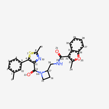 Cc1cccc(-c2sc(C)nc2C(=O)N2CCC2CNC(=O)c2c(C)oc3ccccc23)c1